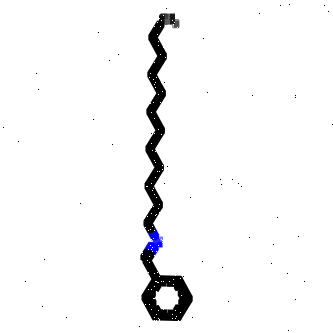 CCCCCCCCCCCC/N=C/c1ccccc1